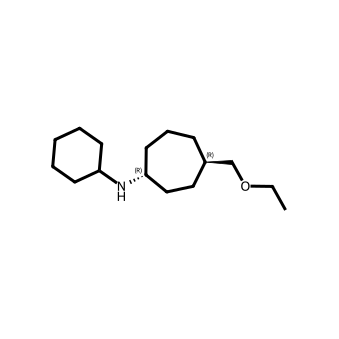 CCOC[C@@H]1CCC[C@@H](NC2CCCCC2)CC1